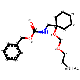 CC(=O)NCCOCOC1(CNC(=O)OCc2ccccc2)CCCCC1